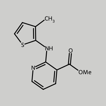 COC(=O)c1cccnc1Nc1sccc1C